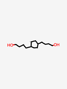 OCCCCC1[CH]CC(CCCCO)CC1